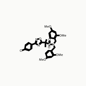 COc1ccc(CN(Cc2ccc(OC)cc2OC)S(=O)(=O)C(C)(C)c2nc(-c3ccc(Cl)cc3)no2)c(OC)c1